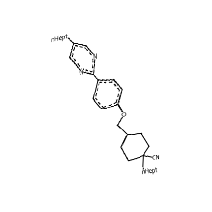 CCCCCCCc1cnc(-c2ccc(OCC3CCC(C#N)(CCCCCCC)CC3)cc2)nc1